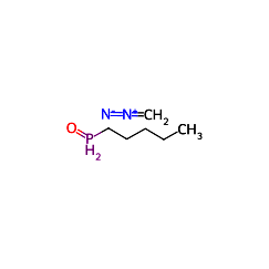 C=[N+]=[N-].CCCCC[PH2]=O